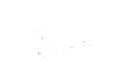 CCCCC(CC)CNC=O